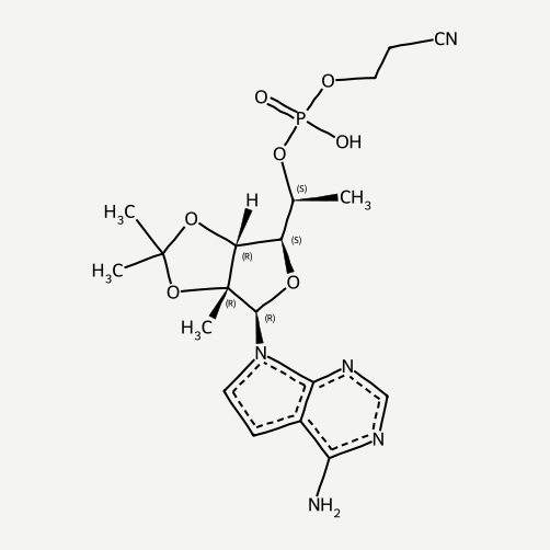 C[C@H](OP(=O)(O)OCCC#N)[C@H]1O[C@@H](n2ccc3c(N)ncnc32)[C@]2(C)OC(C)(C)O[C@H]12